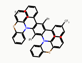 CC(C)c1c(-c2cccc(C(F)(F)F)c2)c(N2c3ccccc3Sc3ccccc32)c(C(C)C)c(N2c3ccccc3Sc3ccccc32)c1-c1cccc(C(F)(F)F)c1